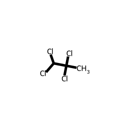 CC(Cl)(Cl)C(Cl)Cl